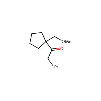 COCC1(C(=O)CC(C)C)CCCC1